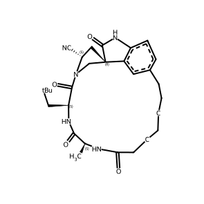 C[C@@H]1NC(=O)CCCCCCc2ccc3c(c2)[C@@]2(C[C@@H](C#N)N(C2)C(=O)[C@H](CC(C)(C)C)NC1=O)C(=O)N3